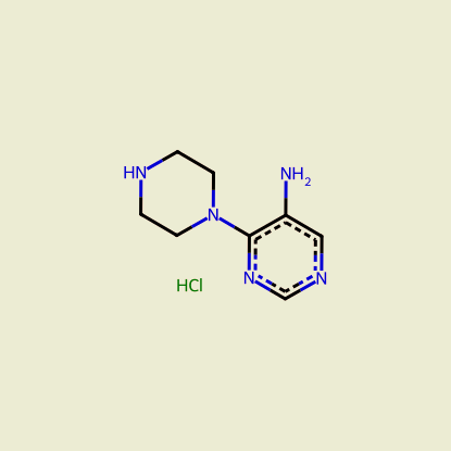 Cl.Nc1cncnc1N1CCNCC1